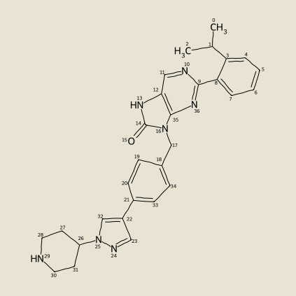 CC(C)c1ccccc1-c1ncc2[nH]c(=O)n(Cc3ccc(-c4cnn(C5CCNCC5)c4)cc3)c2n1